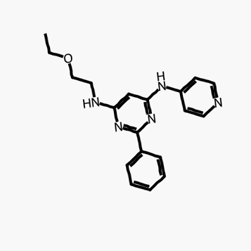 CCOCCNc1cc(Nc2ccncc2)nc(-c2ccccc2)n1